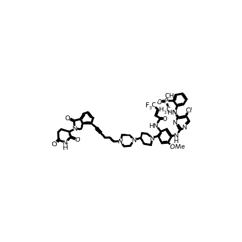 COc1cc(N2CCC(N3CCN(CCCC#Cc4cccc5c4CN(C4CCC(=O)NC4=O)C5=O)CC3)CC2)c(NC(=O)C=CC(F)(F)F)cc1Nc1ncc(Cl)c(Nc2ccccc2P(C)(C)=O)n1